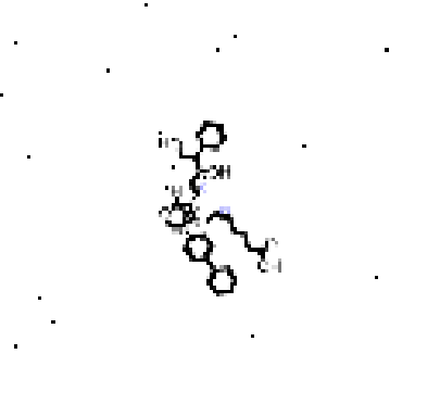 O=C(O)CCC/C=C\C[C@H]1[C@H](/C=C/[C@H](O)C(CO)c2ccccc2)[C@@H]2C[C@@]1(c1ccc(-c3ccccc3)cc1)CO2